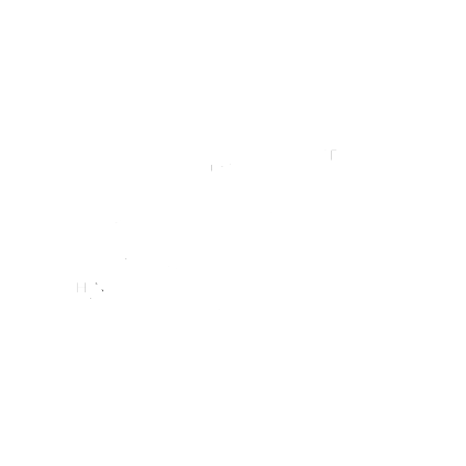 CCCOc1c(Oc2ccccc2C(F)(F)F)cccc1C(N)=O